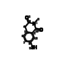 CN1C(=O)Cc2ccc(S)cc2C1=O